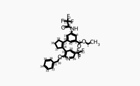 CCOC(=O)c1cc(NC(=O)C(F)(F)F)cc(C2=C(c3cc(C(F)(F)F)cnc3OCc3ccccc3)CCC2)c1